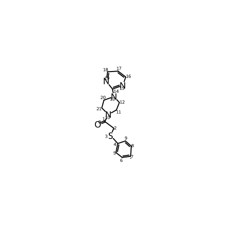 O=C(CSc1cc[c]cc1)N1CCN(c2ncccn2)CC1